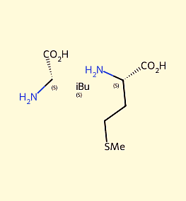 CC[C@H](C)[C@H](N)C(=O)O.CSCC[C@H](N)C(=O)O